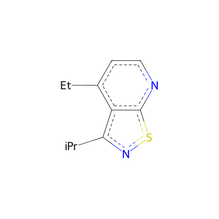 CCc1ccnc2snc(C(C)C)c12